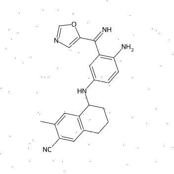 Cc1cc2c(cc1C#N)CCCC2Nc1ccc(N)c(C(=N)c2cnco2)c1